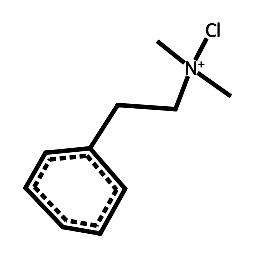 C[N+](C)(Cl)CCc1ccccc1